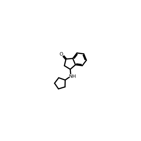 O=C1CC(NC2CCCC2)c2ccccc21